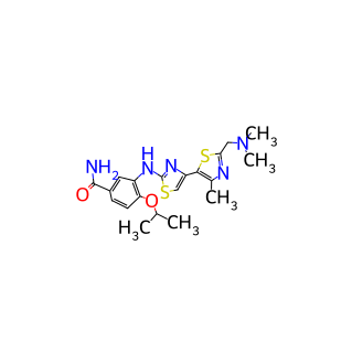 Cc1nc(CN(C)C)sc1-c1csc(Nc2cc(C(N)=O)ccc2OC(C)C)n1